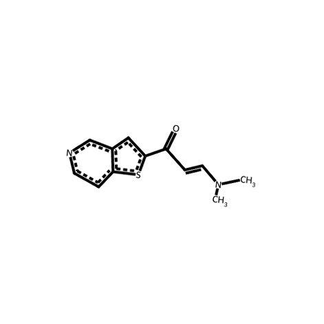 CN(C)C=CC(=O)c1cc2cnccc2s1